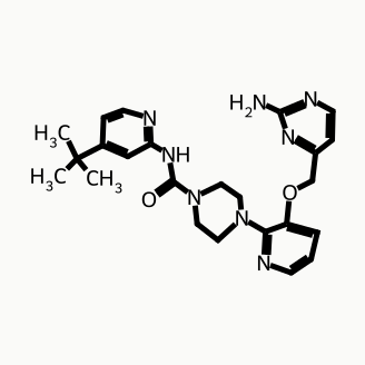 CC(C)(C)c1ccnc(NC(=O)N2CCN(c3ncccc3OCc3ccnc(N)n3)CC2)c1